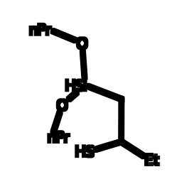 CCCO[SiH](CC(S)CC)OCCC